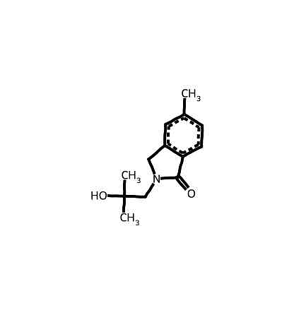 Cc1ccc2c(c1)CN(CC(C)(C)O)C2=O